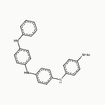 CC(=O)Nc1ccc(Nc2ccc(Nc3ccc(Nc4ccccc4)cc3)cc2)cc1